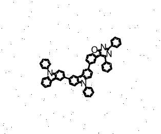 c1ccc(-c2nc(-c3ccccc3)c3c(n2)oc2ccc(-c4ccc5c(c4)c4cc(-c6ccc7c(c6)c6ccccc6n7-c6ccccc6)ccc4n5-c4ccccc4)cc23)cc1